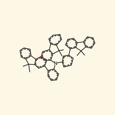 CC1(C)c2ccccc2-c2ccc(-c3ccccc3N(c3cccc(-c4cccc5c4C(C)(C)c4ccccc4-5)c3)c3cccc4c3C(C)(C)c3ccccc3-4)cc21